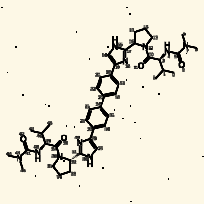 CC(C)[C@H](NC(=O)N(C)C)C(=O)N1CCCC1c1nc(-c2ccc(-c3ccc(-c4c[nH]c([C@@H]5CCCN5C(=O)[C@@H](NC(=O)N(C)C)C(C)C)n4)cc3)cc2)c[nH]1